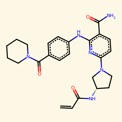 C=CC(=O)N[C@H]1CCN(c2ccc(C(N)=O)c(Nc3ccc(C(=O)N4CCCCC4)cc3)n2)C1